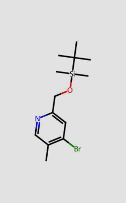 Cc1cnc(CO[Si](C)(C)C(C)(C)C)cc1Br